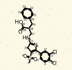 CS(=O)(=O)C1=C(c2ccc(Cl)c(Cl)c2)N=C(NCC(Cc2ccccc2)C(=O)O)C1